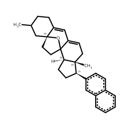 CC1CCC2=CC3=CC[C@]4(C)[C@@H](c5ccc6ccccc6c5)CC[C@H]4C34CC[C@]2(C1)O4